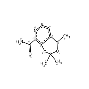 CC1OC(C)(C)Oc2c1ccnc2C(N)=O